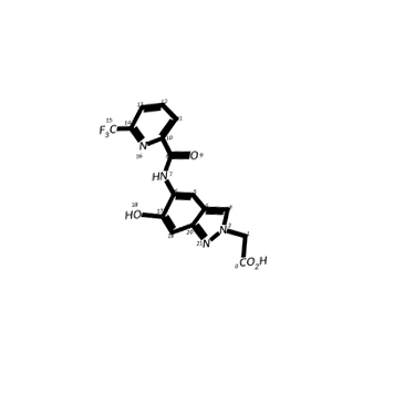 O=C(O)Cn1cc2cc(NC(=O)c3cccc(C(F)(F)F)n3)c(O)cc2n1